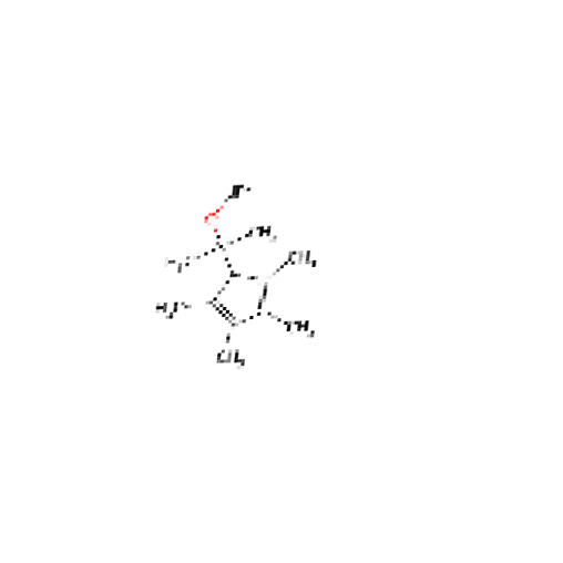 CC1=C(C)C([Si](C)(C)OC(C)C)C(C)=C1C